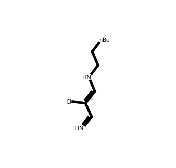 CCCCCCN/C=C(\Cl)C=N